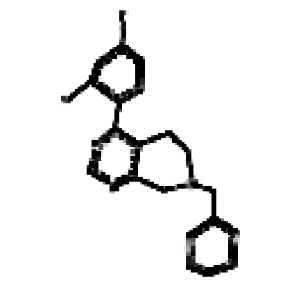 Fc1ccc(-c2ncnc3c2CCN(Cc2ccccc2)C3)c(F)c1